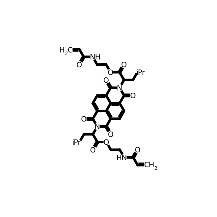 C=CC(=O)NCCOC(=O)C(CC(C)C)N1C(=O)c2ccc3c4c(ccc(c24)C1=O)C(=O)N(C(CC(C)C)C(=O)OCCNC(=O)C=C)C3=O